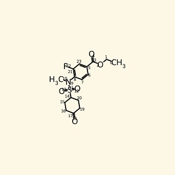 CCOC(=O)c1ccc(N(C)S(=O)(=O)C2CCC(=O)CC2)c(F)c1